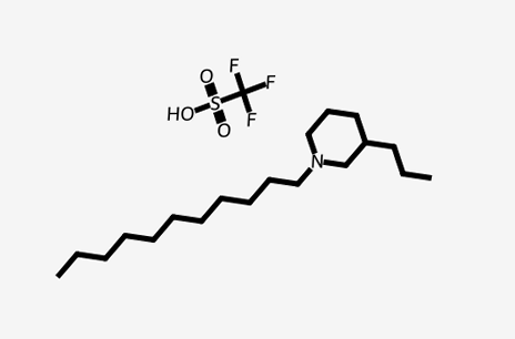 CCCCCCCCCCCN1CCCC(CCC)C1.O=S(=O)(O)C(F)(F)F